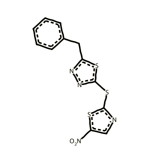 O=[N+]([O-])c1cnc(Sc2nnc(Cc3ccccc3)s2)s1